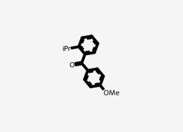 COc1ccc(C(=O)c2ccccc2C(C)C)cc1